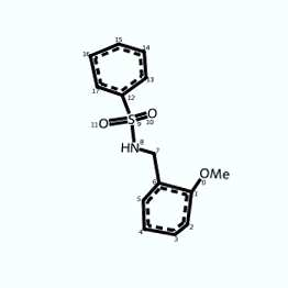 COc1ccccc1CNS(=O)(=O)c1ccccc1